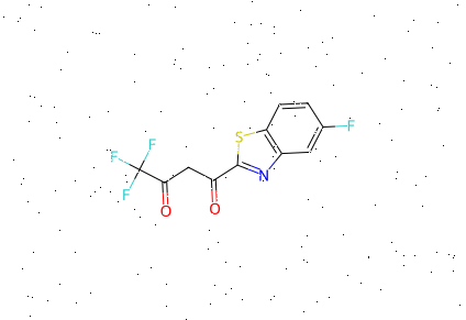 O=C(CC(=O)C(F)(F)F)c1nc2cc(F)ccc2s1